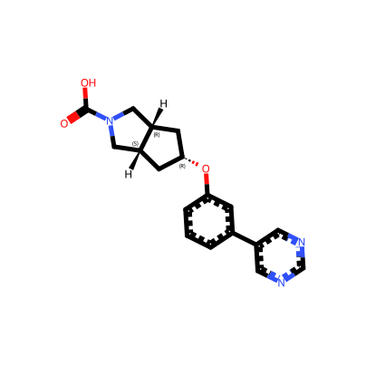 O=C(O)N1C[C@H]2C[C@@H](Oc3cccc(-c4cncnc4)c3)C[C@H]2C1